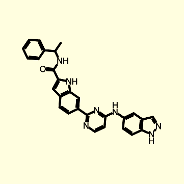 CC(NC(=O)c1cc2ccc(-c3nccc(Nc4ccc5[nH]ncc5c4)n3)cc2[nH]1)c1ccccc1